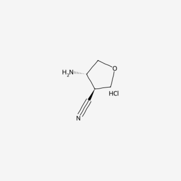 Cl.N#C[C@@H]1COC[C@H]1N